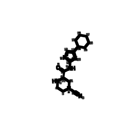 N#CN1CCN[C@@H](C(=O)Nc2ncc(C3CCCCC3)s2)C1